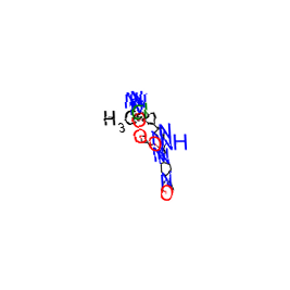 C[C@@H](Cn1cnnn1)Oc1cc(-c2cnc(Nc3cn([C@H]4CC[C@H](N5CCOCC5)CC4)nc3OCC3COC3)nc2)ccc1Cl